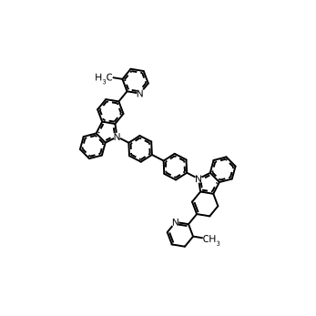 Cc1cccnc1-c1ccc2c3ccccc3n(-c3ccc(-c4ccc(-n5c6c(c7ccccc75)CCC(C5=NC=CCC5C)=C6)cc4)cc3)c2c1